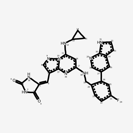 O=C1NC(=O)/C(=C/c2cnn3c(NC4CC4)cc(NCc4ccc(F)cc4-c4cnc5[nH]ccc5c4)nc23)N1